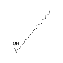 C=C(CO)CCCCCCCCCCCCCCCC